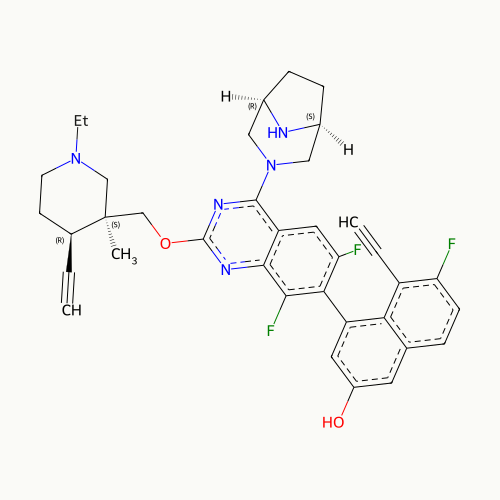 C#Cc1c(F)ccc2cc(O)cc(-c3c(F)cc4c(N5C[C@H]6CC[C@@H](C5)N6)nc(OC[C@]5(C)CN(CC)CC[C@@H]5C#C)nc4c3F)c12